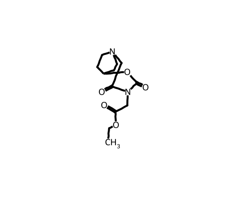 CCOC(=O)CN1C(=O)OC2(CN3CCC2CC3)C1=O